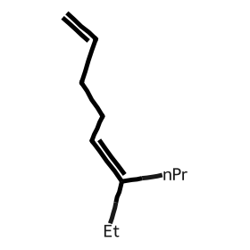 C=CCCC=C(CC)CCC